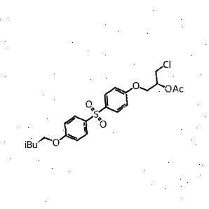 CC[C@H](C)COc1ccc(S(=O)(=O)c2ccc(OC[C@@H](CCl)OC(C)=O)cc2)cc1